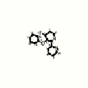 Fc1ccnc(-c2ccccn2)c1Oc1ccccc1